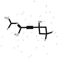 C/C(C#CC1(O)CC(F)(F)C1)=N\C(C)F